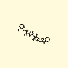 O=C(NCc1ncccc1F)c1csc([C@H]2[C@@H]3CN(Cc4nc5ccccc5[nH]4)C[C@@H]32)n1